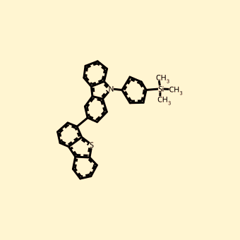 C[Si](C)(C)c1ccc(-n2c3ccccc3c3cc(-c4cccc5c4sc4ccccc45)ccc32)cc1